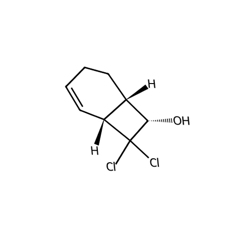 O[C@H]1[C@H]2CCC=C[C@H]2C1(Cl)Cl